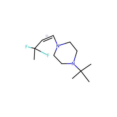 CC(F)(F)/C=C\N1CCN(C(C)(C)C)CC1